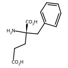 N[C@@](CCC(=O)O)(Cc1ccccc1)C(=O)O